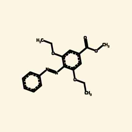 CCOc1cc(C(=O)OC)cc(OCC)c1N=Nc1ccccc1